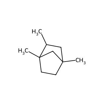 CC1CC2(C)CCC1(C)C2